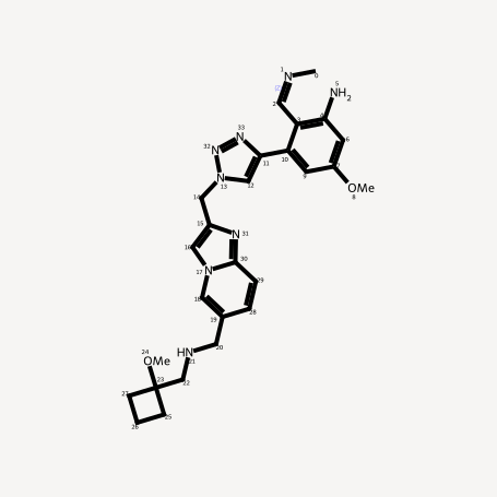 C/N=C\c1c(N)cc(OC)cc1-c1cn(Cc2cn3cc(CNCC4(OC)CCC4)ccc3n2)nn1